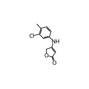 Cc1ccc(NC2=CC(=O)OC2)cc1Cl